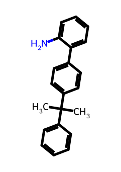 CC(C)(c1ccccc1)c1ccc(-c2ccccc2N)cc1